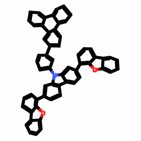 c1cc(-c2ccc3c4ccccc4c4ccccc4c3c2)cc(-n2c3cc(-c4cccc5c4oc4ccccc45)ccc3c3ccc(-c4cccc5c4oc4ccccc45)cc32)c1